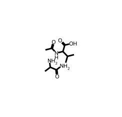 CC(=O)NC(C(=O)O)C(C)C.CC(N)C(N)=O